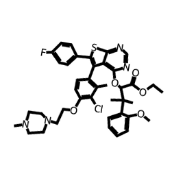 CCOC(=O)C(Oc1ncnc2sc(-c3ccc(F)cc3)c(-c3ccc(OCCN4CCN(C)CC4)c(Cl)c3C)c12)C(C)(C)c1ccccc1OC